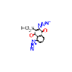 [N-]=[N+]=NC1=C(S(=O)(=O)O)C(=O)c2c(N=[N+]=[N-])cccc2C1=O